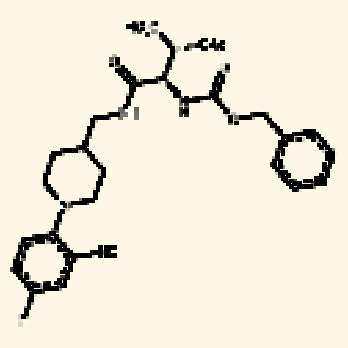 [C-]#[N+]c1cc(F)ccc1N1CCC(CNC(=O)[C@H](NC(=O)OCc2ccccc2)[C@@H](OC(C)=O)C(=O)O)CC1